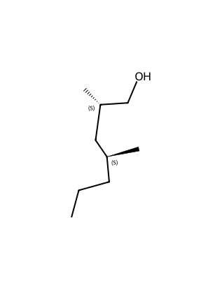 CCC[C@H](C)C[C@H](C)CO